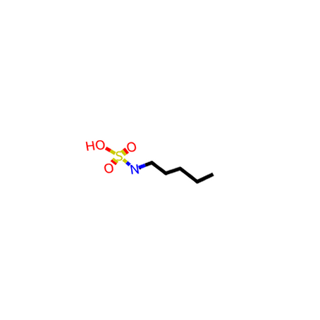 CCCCC[N]S(=O)(=O)O